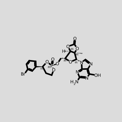 C[C@@]12OC(=O)O[C@@H]1[C@@H](CO[P@@]1(=O)OCC[C@@H](c3cccc(Br)c3)O1)O[C@H]2n1cnc2c(O)nc(N)nc21